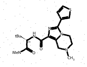 CNC(=O)[C@@H](NC(=O)c1nc(-c2ccsc2)n2c1CN(C)CC2)C(C)(C)C